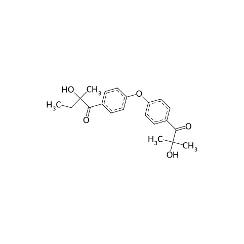 CCC(C)(O)C(=O)c1ccc(Oc2ccc(C(=O)C(C)(C)O)cc2)cc1